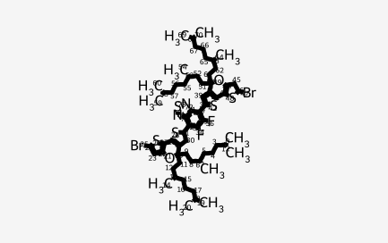 CC(C)CCCC(C)CCC1(CCC(C)CCCC(C)C)Oc2cc(Br)sc2C2=C1CC(c1c(F)c(F)c(-c3cc4c(s3)C3=C(CC(Br)S3)OC4(CCC(C)CCCC(C)C)CCC(C)CCCC(C)C)c3nsnc13)S2